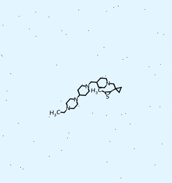 CCN1CCN(C2CCN(CC3CCN(CC4(C5SC5C)CC4)CC3)CC2)CC1